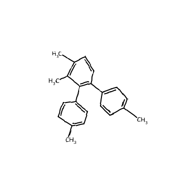 Cc1ccc(-c2c[c]c(C)c(C)c2-c2ccc(C)cc2)cc1